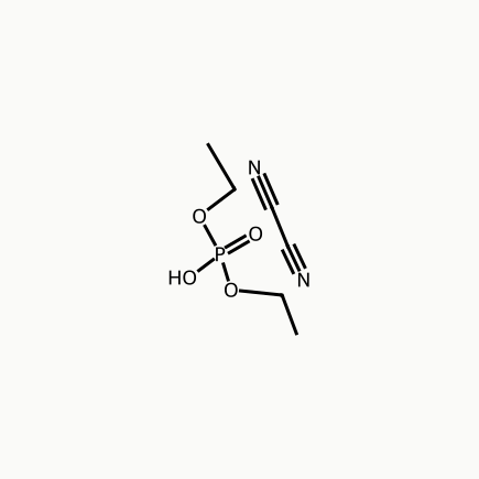 CCOP(=O)(O)OCC.N#CC#N